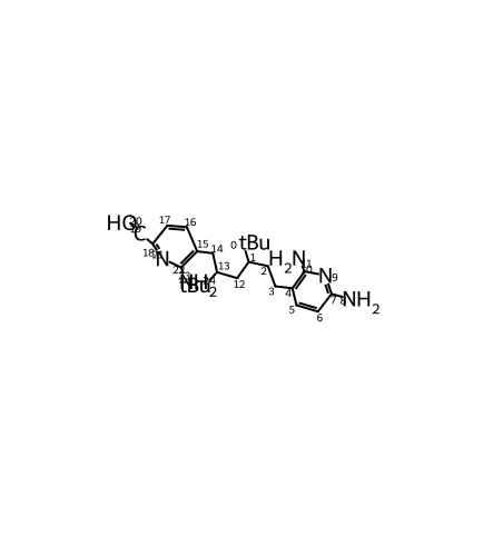 CC(C)(C)C(CCc1ccc(N)nc1N)CC(Cc1ccc(CO)nc1N)C(C)(C)C